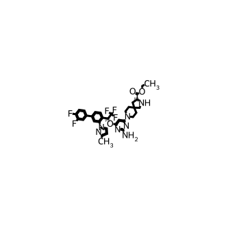 CCOC(=O)[C@@H]1CC2(CCN(c3cc(O[C@H](c4ccc(-c5ccc(F)c(F)c5)cc4-n4ccc(C)n4)C(F)(F)F)nc(N)n3)CC2)CN1